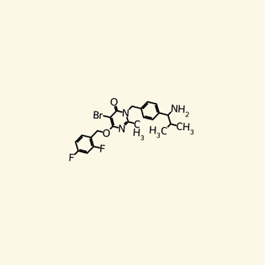 Cc1nc(OCc2ccc(F)cc2F)c(Br)c(=O)n1Cc1ccc(C(N)C(C)C)cc1